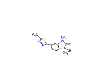 Cc1nnc(-c2ccc3c(c2)N(C)C(=O)C3(C)C)s1